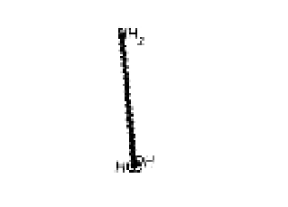 NCCCCCCCCCCCCCCCCCCCCCCCCCCCCCCCCCCCCCP(=O)(O)O